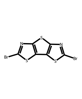 Brc1nc2sc3nc(Br)sc3c2s1